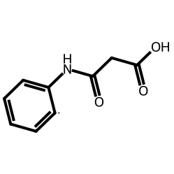 O=C(O)CC(=O)Nc1[c]cccc1